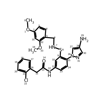 COc1ccc(CNSc2cc(NC(=O)Cc3ccccc3Cl)ccc2-n2cc(N)cn2)c(OC)c1